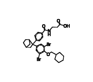 O=C(O)CCNC(=O)c1ccc(C2(c3cc(Br)c(OCC4CCCCC4)c(Br)c3)CC3CCC2C3)cc1